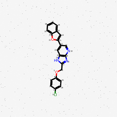 Clc1ccc(OCc2nc3ncc(-c4cc5ccccc5o4)cc3[nH]2)cc1